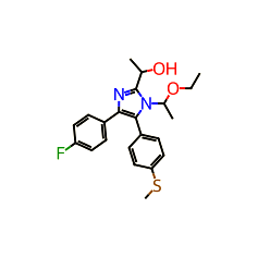 CCOC(C)n1c(C(C)O)nc(-c2ccc(F)cc2)c1-c1ccc(SC)cc1